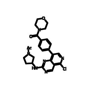 CC(=O)N1CCC(Nc2ncc3c(Cl)ncc(-c4ccc(C(=O)N5CCOCC5)cc4)c3n2)C1